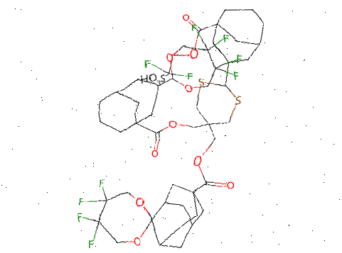 O=C(OCC1(COC(=O)C23CC4CC(C2)C2(OCC(F)(F)C(F)(F)CO2)C(C4)C3)CSC(C2CC3CCCC(C(=O)OCC(F)(F)S(=O)(=O)O)(C3)C2)SC1)C12CCCC(CC(C3OCC(F)(F)C(F)(F)CO3)C1)C2